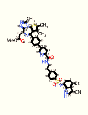 CCc1ccc(NS(=O)(=O)c2ccc(CCNC(=O)c3ccc(-c4ccc(C5=N[C@@H](CC(=O)OC)c6nnc(C)n6-c6sc(C)c(C)c65)cc4)cn3)cc2)c2[nH]cc(C#N)c12